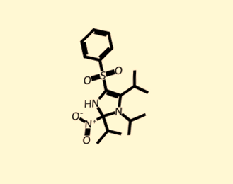 CC(C)C1=C(S(=O)(=O)c2ccccc2)NC(C(C)C)([N+](=O)[O-])N1C(C)C